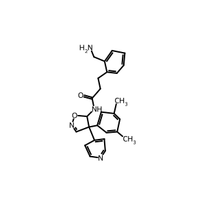 Cc1cc(C)cc(C2(c3ccncc3)C=NOC2NC(=O)CCc2ccccc2CN)c1